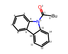 CCC(C)C(=O)n1c2ccccc2c2ccccc21